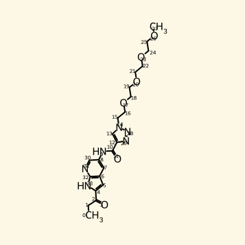 CCC(=O)c1cc2cc(NC(=O)c3cn(CCOCCOCCOCCOC)nn3)cnc2[nH]1